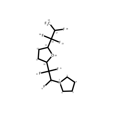 FC(N1CCCC1)C(F)(F)C1CCC(C(F)(F)C(F)C(F)(F)F)O1